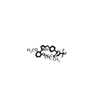 COc1cccc(OC)c1-c1ccc(Cc2ccc(-c3nc(C(F)(F)F)cn3C(C)C)cc2)[nH]1